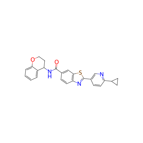 O=C(NC1CCOc2ccccc21)c1ccc2nc(-c3ccc(C4CC4)nc3)sc2c1